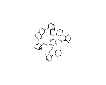 C(=Cc1nc(C=Cc2ncccc2C2CCCCC2)c(C=Cc2ncccc2C2CCCCC2)nc1C=Cc1ncccc1C1CCCCC1)c1ncccc1C1CCCCC1